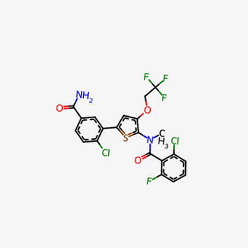 CN(C(=O)c1c(F)cccc1Cl)c1sc(-c2cc(C(N)=O)ccc2Cl)cc1OCC(F)(F)F